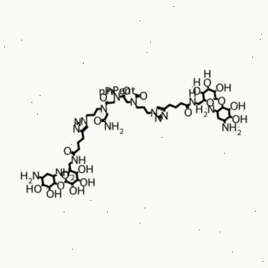 CCCCCC(=O)N(CCCn1cc(CCCC(=O)NCC2OC(OC3C(N)CC(N)C(O)C3O)C(O)C(O)C2O)nn1)CC(=O)N(CCC)CC(=O)N(CCCn1cc(CCCC(=O)NCC2OC(OC3C(N)CC(N)C(O)C3O)C(O)C(O)C2O)nn1)CC(N)=O